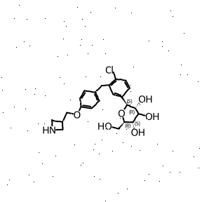 OC[C@H]1O[C@@H](c2ccc(Cl)c(Cc3ccc(OCC4CNC4)cc3)c2)[C@H](O)C(O)[C@@H]1O